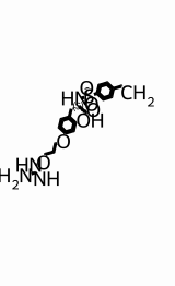 C=Cc1ccc(S(=O)(=O)N[C@@H](Cc2ccc(OCCCONC(=N)N)cc2)C(=O)O)cc1